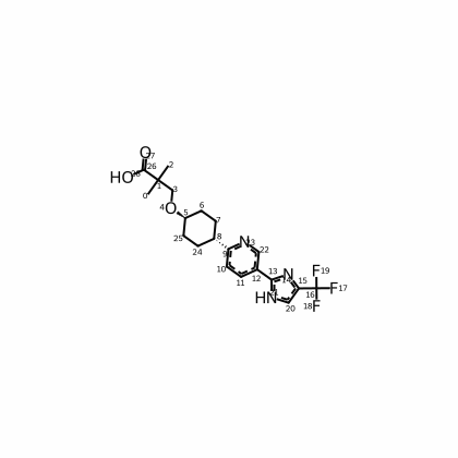 CC(C)(CO[C@H]1CC[C@H](c2ccc(-c3nc(C(F)(F)F)c[nH]3)cn2)CC1)C(=O)O